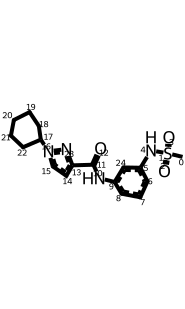 CS(=O)(=O)Nc1cccc(NC(=O)c2ccn(C3CCCCC3)n2)c1